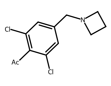 CC(=O)c1c(Cl)cc(CN2CCC2)cc1Cl